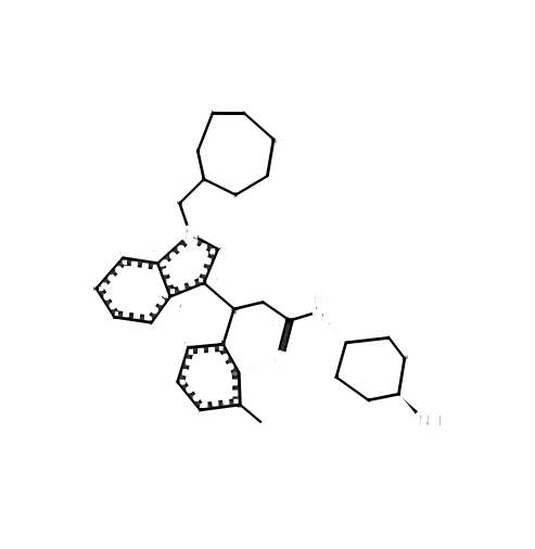 Cc1cccc(C(CC(=O)N[C@H]2CC[C@H](N)CC2)c2cn(CC3CCCCCC3)c3ccccc23)c1